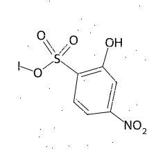 O=[N+]([O-])c1ccc(S(=O)(=O)OI)c(O)c1